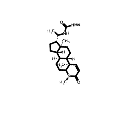 CNC(=O)NC(C)[C@H]1CC[C@H]2[C@@H]3CCC4N(C)C(=O)C=C[C@]4(C)[C@H]3CC[C@]12C